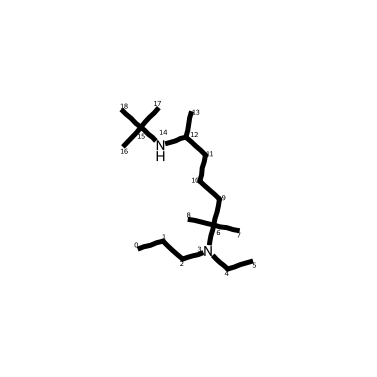 CCCN(CC)C(C)(C)CCCC(C)NC(C)(C)C